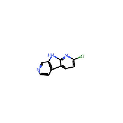 Clc1ccc2c(n1)[nH]c1cnccc12